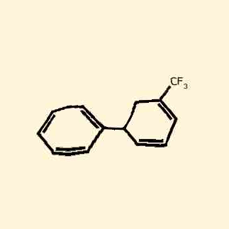 FC(F)(F)C1=CC=CC(c2ccccc2)C1